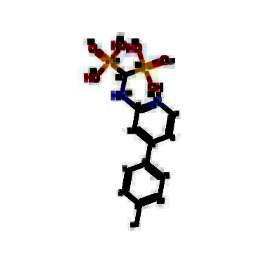 Cc1ccc(-c2ccnc(NC(P(=O)(O)O)P(=O)(O)O)c2)cc1